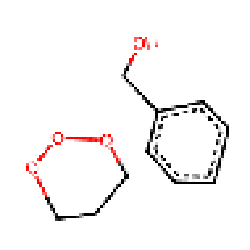 C1COOOC1.OCc1ccccc1